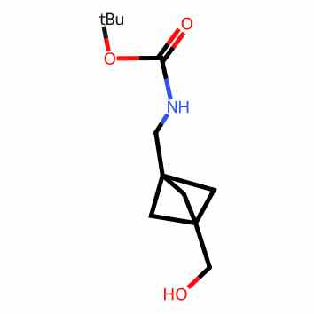 CC(C)(C)OC(=O)NCC12CC(CO)(C1)C2